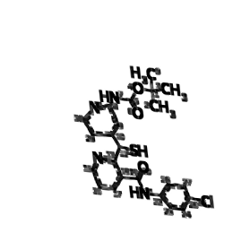 CC(C)(C)OC(=O)Nc1cc(C(S)c2ncccc2C(=O)Nc2ccc(Cl)cc2)ccn1